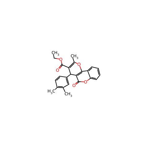 CCOC(=O)C1=C(C)Oc2c(c(=O)oc3ccccc23)C1c1ccc(C)c(C)c1